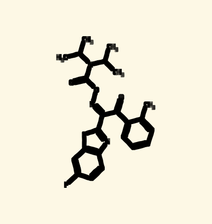 Cc1ccccc1C(=O)/C(=N\OC(=O)N(C(C)C)C(C)C)c1nc2ccc(F)cc2s1